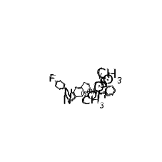 CC[C@]12Cc3cnn(-c4ccc(F)cc4)c3C=C1CC[C@@]2(O)CCc1ccccc1S(=O)(=O)CC